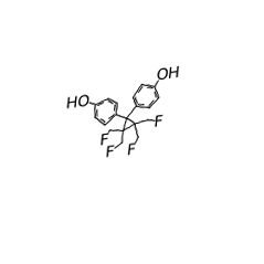 Oc1ccc(C2(c3ccc(O)cc3)C(CF)(CF)C2(CF)CF)cc1